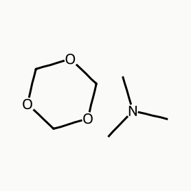 C1OCOCO1.CN(C)C